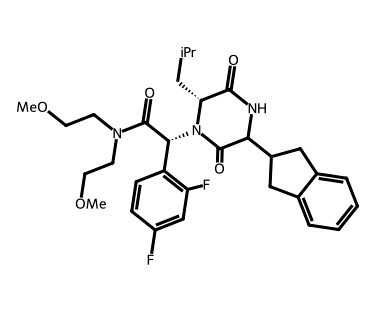 COCCN(CCOC)C(=O)[C@@H](c1ccc(F)cc1F)N1C(=O)C(C2Cc3ccccc3C2)NC(=O)[C@H]1CC(C)C